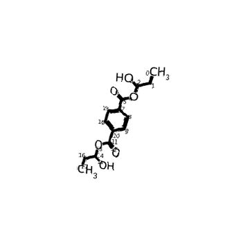 CCC(O)OC(=O)c1ccc(C(=O)OC(O)CC)cc1